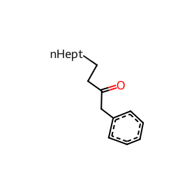 CCCCCCCCCC(=O)Cc1ccccc1